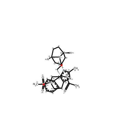 CC(=O)N[C@@H](CCN1[C@@H]2CC[C@H]1C[C@@H](n1c(C)nc3c1CN(S(C)(=O)=O)CC3)C2)c1ccccc1